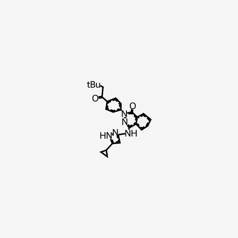 CC(C)(C)CC(=O)c1ccc(-n2nc(Nc3cc(C4CC4)[nH]n3)c3ccccc3c2=O)cc1